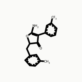 Cc1cccc(CC2OC(N)=C(c3cccc(C(F)(F)F)c3)C2=O)c1